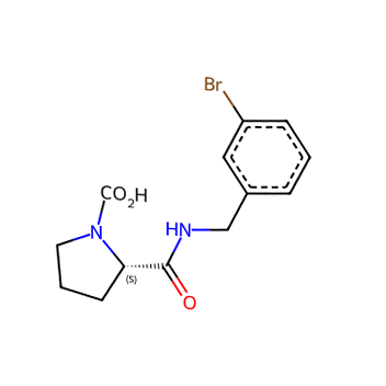 O=C(NCc1cccc(Br)c1)[C@@H]1CCCN1C(=O)O